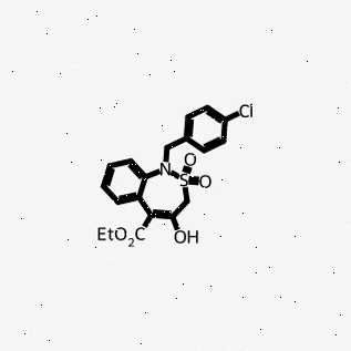 CCOC(=O)C1=C(O)CS(=O)(=O)N(Cc2ccc(Cl)cc2)c2ccccc21